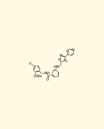 COc1cc(F)ccc1CNC(=O)c1cccc(NCc2nnc(-c3ccncn3)n2C)c1